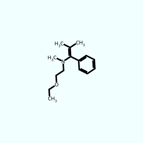 CCOCCN(C)C(=C(C)C)c1ccccc1